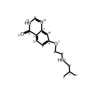 CC(C)CNCCOc1ccc2c(=O)[nH]cnc2c1